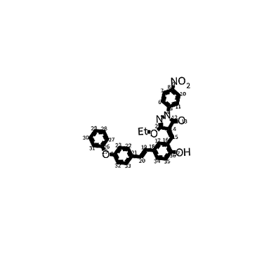 CCOC1=NN(c2ccc([N+](=O)[O-])cc2)C(=O)/C1=C/c1cc(/C=C/c2ccc(Oc3ccccc3)cc2)ccc1O